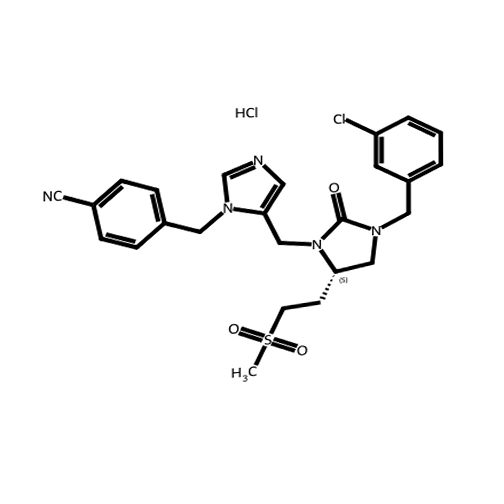 CS(=O)(=O)CC[C@H]1CN(Cc2cccc(Cl)c2)C(=O)N1Cc1cncn1Cc1ccc(C#N)cc1.Cl